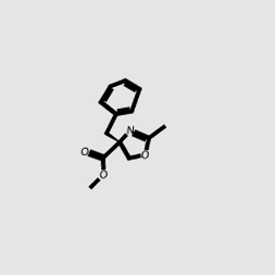 COC(=O)[C@@]1(Cc2ccccc2)COC(C)=N1